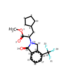 COC(=O)C(CC1CCCC1)N1Cc2c(cccc2C(F)(F)F)C1=O